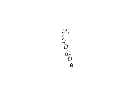 CCCCC1CCC(c2ccc(C3COC(c4ccc(C#N)cc4)OC3)cc2)CC1